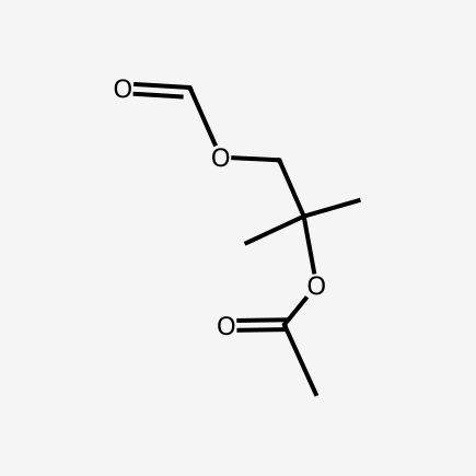 CC(=O)OC(C)(C)COC=O